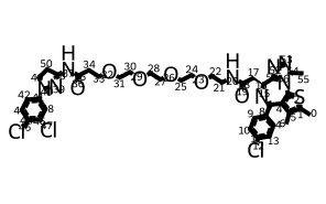 Cc1sc2c(c1C)C(c1ccc(Cl)cc1)=N[C@@H](CC(=O)NCCOCCOCCOCCOCCC(=O)NC1=NN(c3ccc(Cl)c(Cl)c3)CC1)c1nnc(C)n1-2